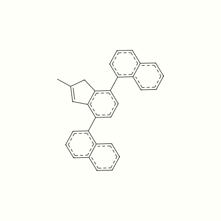 CC1=Cc2c(-c3cccc4ccccc34)ccc(-c3cccc4ccccc34)c2C1